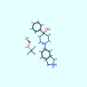 CC(C)(C)OC=O.OC1(c2ccccc2)CCN(c2ccc3c(c2)CNC3)CC1